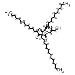 CCCCCCCCCCCCCCC(C(=O)CCCCCCCCCCCCC)(C(=O)CCCCCCCCCCCCC)C(=S)OCC(O)CO